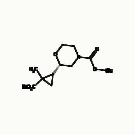 CCOC(=O)C1(C)CC1[C@H]1CN(C(=O)OC(C)(C)C)CCO1